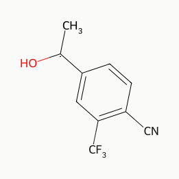 C[C](O)c1ccc(C#N)c(C(F)(F)F)c1